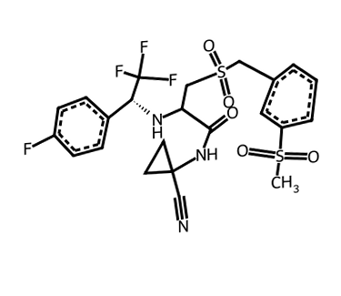 CS(=O)(=O)c1cccc(CS(=O)(=O)CC(N[C@H](c2ccc(F)cc2)C(F)(F)F)C(=O)NC2(C#N)CC2)c1